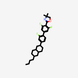 CCCCC1CCC2CC(c3ccc(-c4cc(F)c(C5=NC(C)(C)CO5)c(F)c4)c(F)c3)CCC2C1